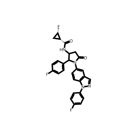 O=C(NC1CC(=O)N(c2ccc3c(cnn3-c3ccc(F)cc3)c2)C1c1ccc(F)cc1)[C@@H]1C[C@@H]1F